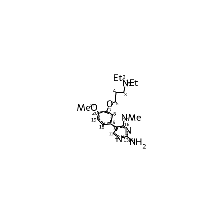 CCN(CC)CCCOc1cc(-c2cnc(N)nc2NC)ccc1OC